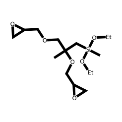 CCO[Si](C)(CC(C)(COCC1CO1)OCC1CO1)OCC